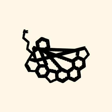 CC(=O)CCCC1(c2ccccc2)C23C=Cc4cc5c6c7c4C21c1c2c4c(cc8ccc9cc(c6c6c9c8c4c6c17)C5)CC2=C3